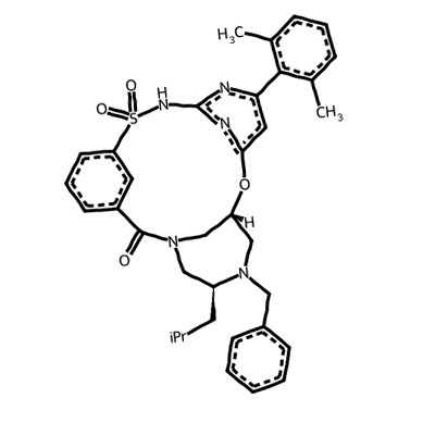 Cc1cccc(C)c1-c1cc2nc(n1)NS(=O)(=O)c1cccc(c1)C(=O)N1C[C@@H](CN(Cc3ccccc3)[C@@H](CC(C)C)C1)O2